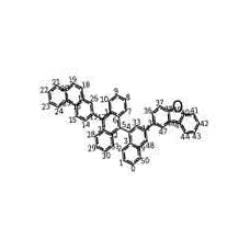 c1ccc2c(-c3c4ccccc4c(-c4ccc5c(ccc6ccccc65)c4)c4ccccc34)cc(-c3ccc4oc5ccccc5c4c3)cc2c1